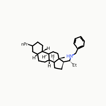 CCCC1CC[C@H]2[C@H](CC[C@@H]3[C@@H]2CC[C@]2(C)[C@@H]([C@@H](CC)NCc4ccccc4)CC[C@@H]32)C1